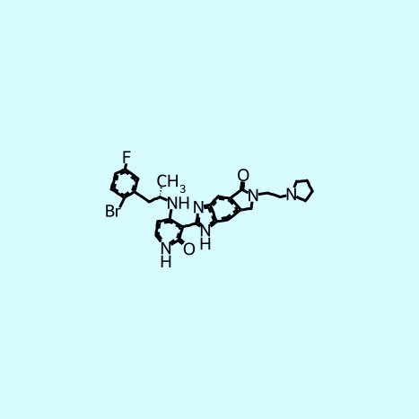 C[C@@H](Cc1cc(F)ccc1Br)Nc1cc[nH]c(=O)c1-c1nc2cc3c(cc2[nH]1)CN(CCN1CCCC1)C3=O